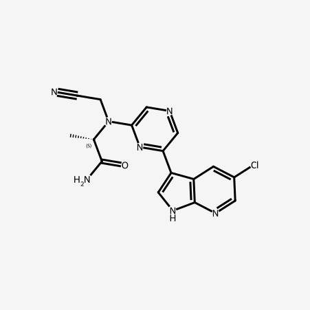 C[C@@H](C(N)=O)N(CC#N)c1cncc(-c2c[nH]c3ncc(Cl)cc23)n1